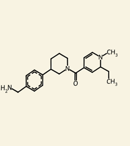 CCC1C=C(C(=O)N2CCCC(c3ccc(CN)cc3)C2)C=CN1C